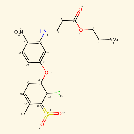 CSCCOC(=O)CCNc1cc(OC2=CC=C(C)C(=S(=O)=O)C2Cl)ccc1[N+](=O)[O-]